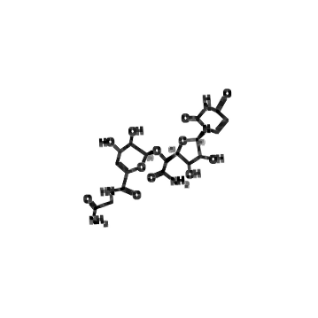 NC(=O)CNC(=O)C1=CC(O)C(O)[C@@H](OC(C(N)=O)[C@H]2O[C@@H](n3ccc(=O)[nH]c3=O)C(O)C2O)O1